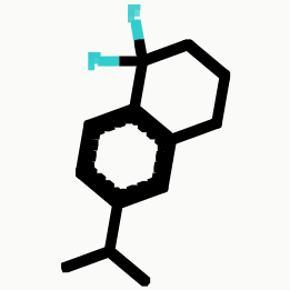 CC(C)c1ccc2c(c1)CCCC2(F)F